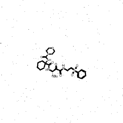 CCCC[C@H](NC(=O)C1(NC(=O)N2CCOCC2)CCCCC1)C(=O)C(=O)NCCS(=O)(=O)c1ccccc1